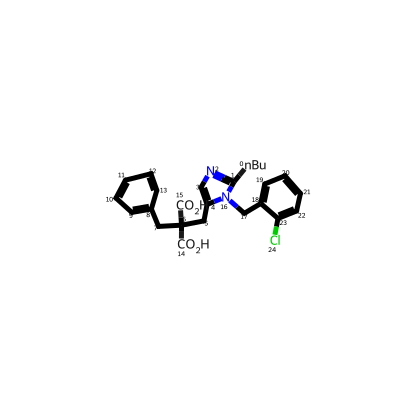 CCCCc1ncc(CC(Cc2ccccc2)(C(=O)O)C(=O)O)n1Cc1ccccc1Cl